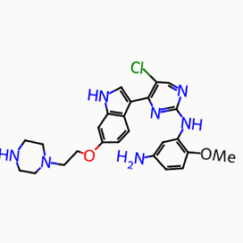 COc1ccc(N)cc1Nc1ncc(Cl)c(-c2c[nH]c3cc(OCCN4CCNCC4)ccc23)n1